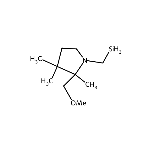 COCC1(C)N(C[SiH3])CCC1(C)C